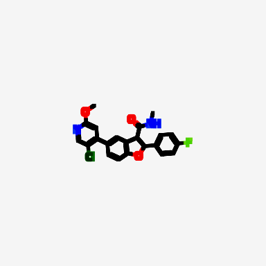 CNC(=O)C1c2cc(-c3cc(OC)ncc3Cl)ccc2OC1c1ccc(F)cc1